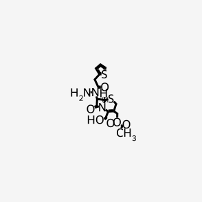 CC(=O)OCC1=C(C(=O)O)N2C(=O)C(N(N)C(=O)Cc3cccs3)[C@H]2SC1